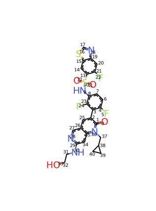 O=c1c(-c2c(F)ccc(NS(=O)(=O)c3cc4scnc4cc3F)c2F)cc2cnc(NCCO)cc2n1CC1CC1